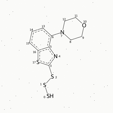 SSSc1nc2c(N3CCOCC3)cccc2s1